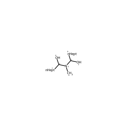 CCCCCCCC(O)N(C)C(O)CCCCCCC